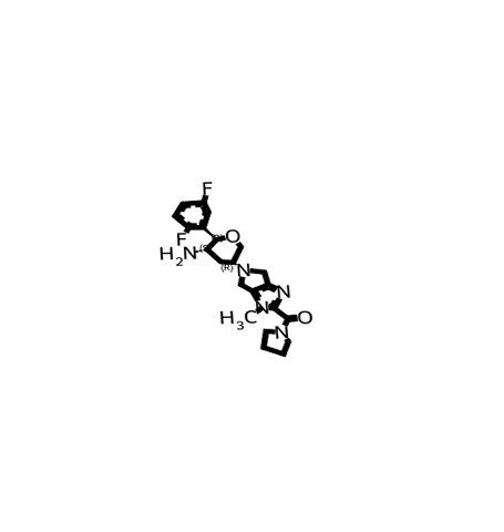 Cn1c(C(=O)N2CCCC2)nc2c1CN([C@H]1CO[C@H](c3cc(F)ccc3F)[C@@H](N)C1)C2